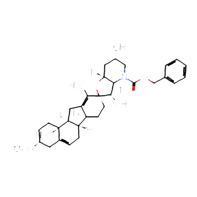 CO[C@H]1CC[C@@]2(C)C(=CC[C@H]3[C@@H]4CC[C@]5(O[C@@H]6C[C@H](C)CN(C(=O)OCc7ccccc7)[C@H]6[C@H]5C)C(C)=C4C[C@@H]32)C1